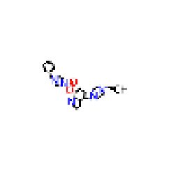 C#CCN1CCN(Cc2ccc(OC(=O)N3CCN(Cc4ccccc4)CC3)c3ncccc23)CC1